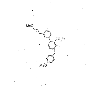 CCOC(=O)C1=C(C)N(Cc2ccc(OC)cc2)C=CC1c1cccc(CCCOC)c1